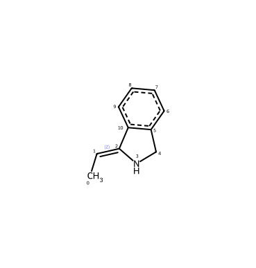 C/C=C1\NCc2ccccc21